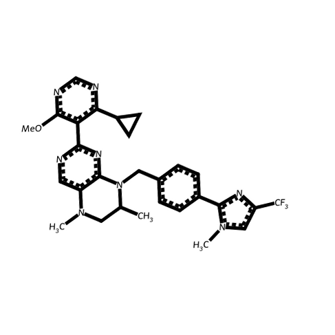 COc1ncnc(C2CC2)c1-c1ncc2c(n1)N(Cc1ccc(-c3nc(C(F)(F)F)cn3C)cc1)C(C)CN2C